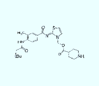 Cc1cc(C(=O)/N=c2\sccn2COC(=O)C2CCNCC2)ccc1NC(=O)CC(C)(C)C